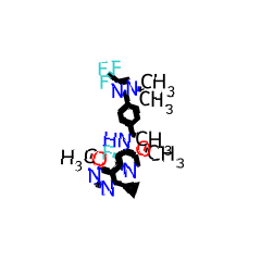 COc1cnc(-c2c(OC)ncnc2C2CC2)c(F)c1NC(C)c1ccc(-c2nc(C(F)(F)F)cn2C(C)C)cc1